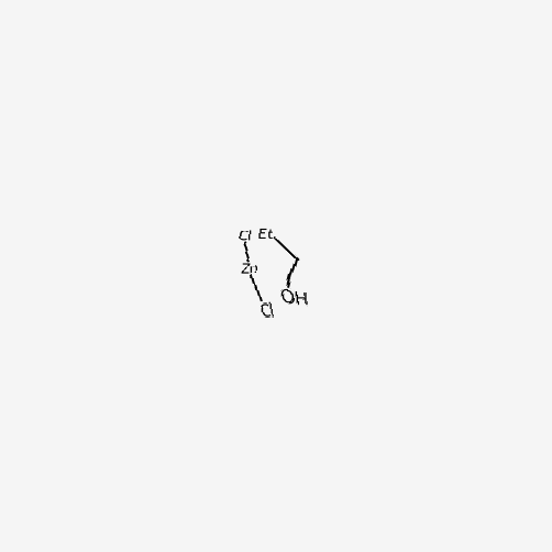 [CH2]CCO.[Cl][Zn][Cl]